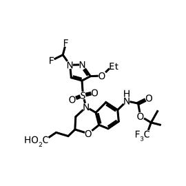 CCOc1nn(C(F)F)cc1S(=O)(=O)N1CC(CCC(=O)O)Oc2ccc(NC(=O)OC(C)(C)C(F)(F)F)cc21